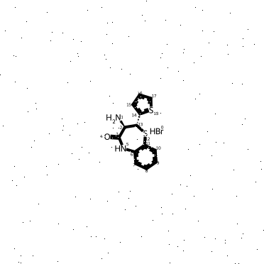 Br.N[C@@H]1C(=O)Nc2ccccc2S[C@H]1c1cccs1